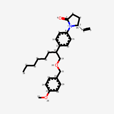 C=C[C@H]1CCC(=O)N1c1ccc(C(CCCCCC)COCc2ccc(OC)cc2)cc1